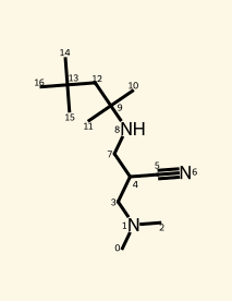 CN(C)CC(C#N)CNC(C)(C)CC(C)(C)C